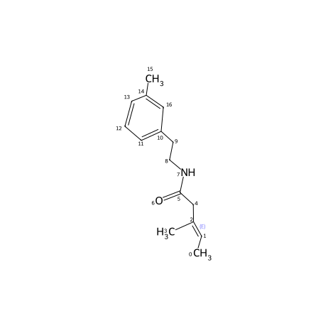 C/C=C(\C)CC(=O)NCCc1cccc(C)c1